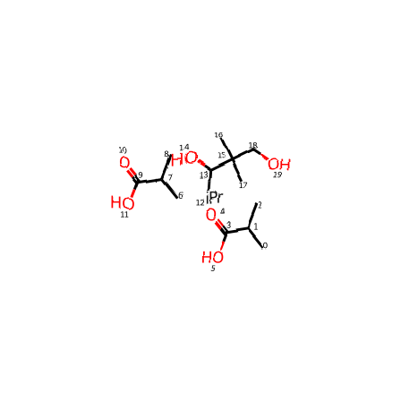 CC(C)C(=O)O.CC(C)C(=O)O.CC(C)C(O)C(C)(C)CO